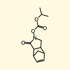 CC(C)OC(=O)ON1CC2C3C=CC(C3)C2C1=O